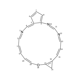 c1ccncc2cccc-2ncncccc2c(occ1)C2